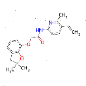 C=Cc1ccc(NC(=O)COc2cccc3c2OC(C)(C)C3)nc1C